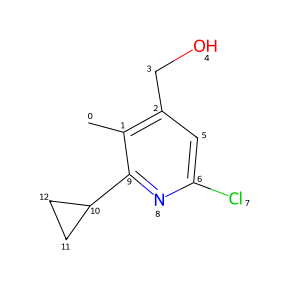 Cc1c(CO)cc(Cl)nc1C1CC1